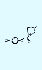 CN1CCCN(C(=O)COc2ccc(Cl)cc2)CC1